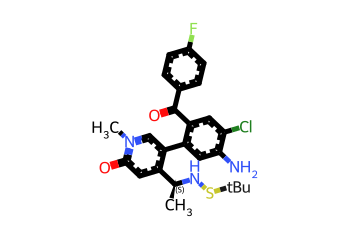 C[C@H](NSC(C)(C)C)c1cc(=O)n(C)cc1-c1cc(N)c(Cl)cc1C(=O)c1ccc(F)cc1